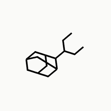 CCC(CC)C1C2CC3CC(C2)CC1C3